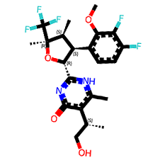 COc1c([C@H]2[C@H](c3nc(=O)c([C@H](C)CO)c(C)[nH]3)O[C@@](C)(C(F)(F)F)[C@H]2C)ccc(F)c1F